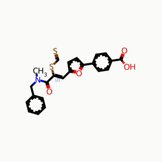 CN(Cc1ccccc1)C(=O)/C(=C/c1ccc(-c2ccc(C(=O)O)cc2)o1)SC=S